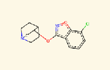 Clc1cccc2c(OC3CN4CCC3CC4)noc12